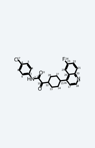 O=C(Nc1ccc(Cl)cc1)C(=O)C1CCC(c2ccnc3ccc(F)cc23)CC1